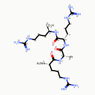 CC(=O)N[C@@H](CCCNC(=N)N)C(=O)N[C@H](C(=O)N[C@@H](CCCNC(=N)N)C(=O)N[C@@H](CCCNC(=N)N)C(=O)O)C(C)C